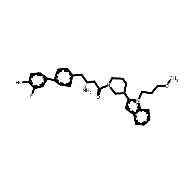 COCCCn1c(C2CCCN(C(=O)C[C@H](N)Cc3ccc(-c4ccc(O)c(F)c4)cc3)C2)cc2ccccc21